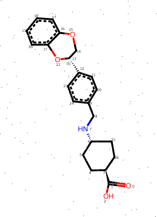 O=C(O)[C@H]1CC[C@H](NCc2ccc([C@H]3COc4ccccc4O3)cc2)CC1